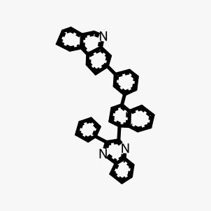 c1ccc(-c2nc3ccccc3nc2-c2ccc(-c3cccc(-c4ccc5c(c4)ncc4ccccc45)c3)c3ccccc23)cc1